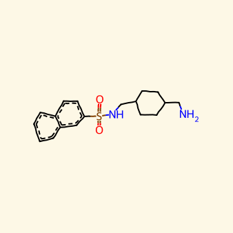 NCC1CCC(CNS(=O)(=O)c2ccc3ccccc3c2)CC1